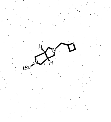 CC(C)(C)N1C[C@H]2CN(CC3CCC3)C[C@H]2C1